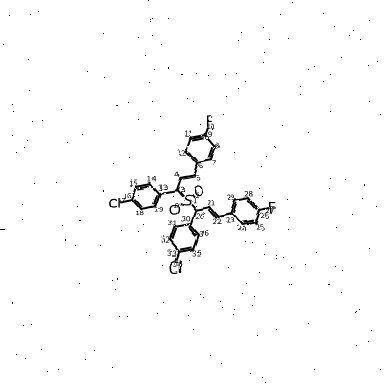 O=S(=O)(C(C=Cc1ccc(F)cc1)c1ccc(Cl)cc1)C(C=Cc1ccc(F)cc1)c1ccc(Cl)cc1